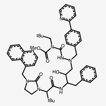 COC(=O)N(CC(C)(C)C)C(=O)NN(Cc1ccc(-c2ccccn2)cc1)CC(O)C(Cc1ccccc1)NC(=O)C(N1CCN(Cc2ccnc3ccccc23)C1=O)C(C)(C)C